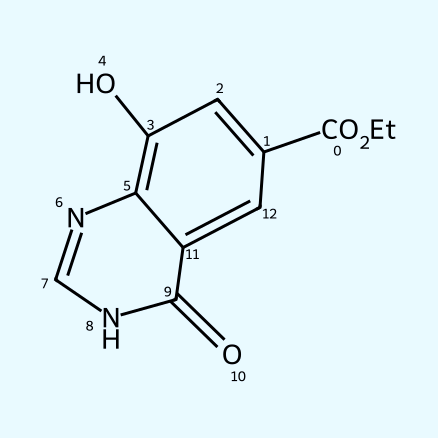 CCOC(=O)c1cc(O)c2nc[nH]c(=O)c2c1